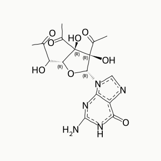 CC(=O)C(O)[C@H]1O[C@@H](n2cnc3c(=O)[nH]c(N)nc32)[C@@](O)(C(C)=O)[C@@]1(O)C(C)=O